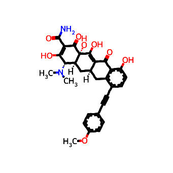 COc1ccc(C#Cc2ccc(O)c3c2C[C@H]2C[C@H]4[C@H](N(C)C)C(O)=C(C(N)=O)C(=O)[C@@]4(O)C(O)=C2C3=O)cc1